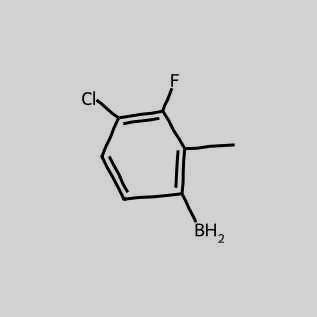 Bc1ccc(Cl)c(F)c1C